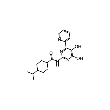 CC(C)C1CCC(C(=O)Nc2nc(O)c(O)c(-c3ccccn3)n2)CC1